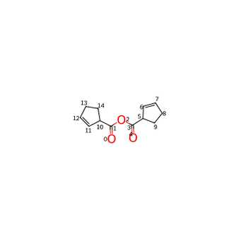 O=C(OC(=O)C1C=CCC1)C1C=CCC1